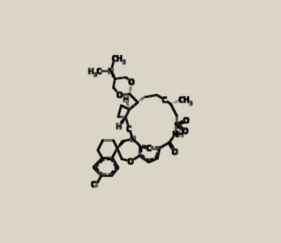 C[C@H]1CCC[C@@H]([C@H]2OC[C@H](N(C)C)CO2)[C@@H]2CC[C@H]2CN2C[C@@]3(CCCc4cc(Cl)ccc43)COc3ccc(cc32)C(=O)NS(=O)(=O)C1